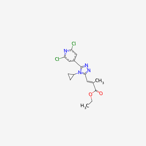 CCOC(=O)/C(C)=C/c1nnc(-c2cc(Cl)nc(Cl)c2)n1C1CC1